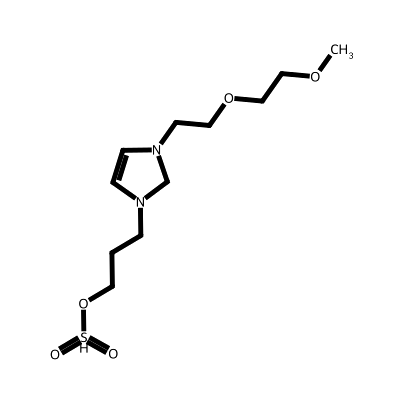 COCCOCCN1C=CN(CCCO[SH](=O)=O)C1